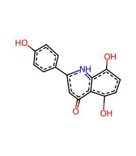 O=c1cc(-c2ccc(O)cc2)[nH]c2c(O)ccc(O)c12